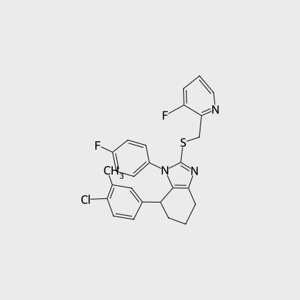 Cc1cc(C2CCCc3nc(SCc4ncccc4F)n(-c4ccc(F)cc4)c32)ccc1Cl